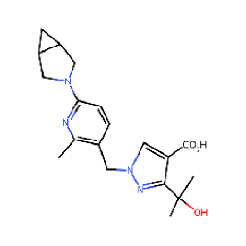 Cc1nc(N2CC3CC3C2)ccc1Cn1cc(C(=O)O)c(C(C)(C)O)n1